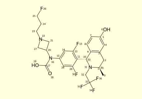 C[C@@H]1Cc2cc(O)ccc2[C@@H](c2c(F)cc(N(C(=O)O)C3CN(CCCF)C3)cc2F)N1CC(F)(F)F